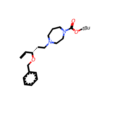 C=C[C@H](CCN1CCCN(C(=O)OC(C)(C)C)CC1)OCc1ccccc1